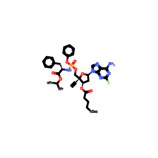 C#C[C@]1(CO[P@@](=O)(N[C@@H](Cc2ccccc2)C(=O)OC(CCC)CCC)Oc2ccccc2)O[C@@H](n2cnc3c(N)nc(F)nc32)C[C@@H]1OC(=O)CCCCCCCCCCCCC